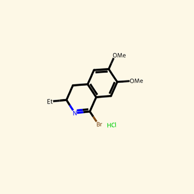 CCC1Cc2cc(OC)c(OC)cc2C(Br)=N1.Cl